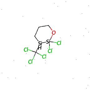 ClC(Cl)(Cl)[SiH]1CCCO[Si]1(Cl)Cl